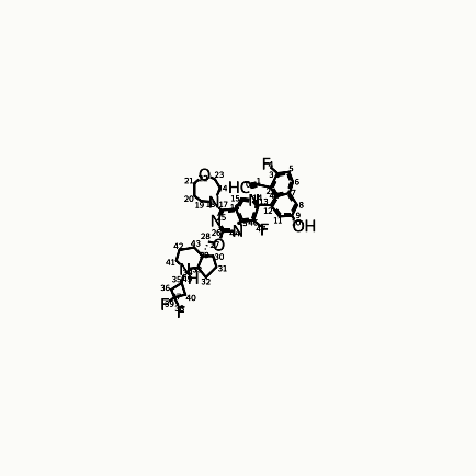 C#Cc1c(F)ccc2cc(O)cc(-c3ncc4c(N5CCCOCC5)nc(OC[C@]56CCC[C@H]5N(C5CC(F)(F)C5)CCC6)nc4c3F)c12